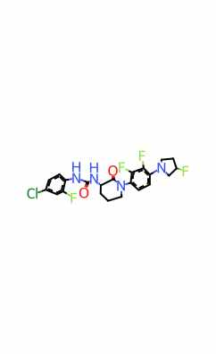 O=C(Nc1ccc(Cl)cc1F)N[C@@H]1CCCN(c2ccc(N3CC[C@@H](F)C3)c(F)c2F)C1=O